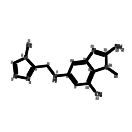 CCn1cnnc1CNc1cc(C#N)c2c(c1)nc(N)n2C